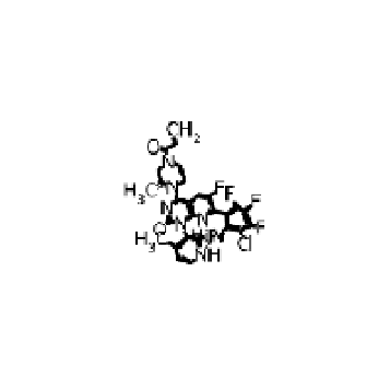 C=CC(=O)N1CCN(c2nc(=O)n(C3=C(C)C=CNC3C(C)C)c3nc(-c4c(N)c(Cl)c(F)c(F)c4F)c(F)cc23)[C@@H](C)C1